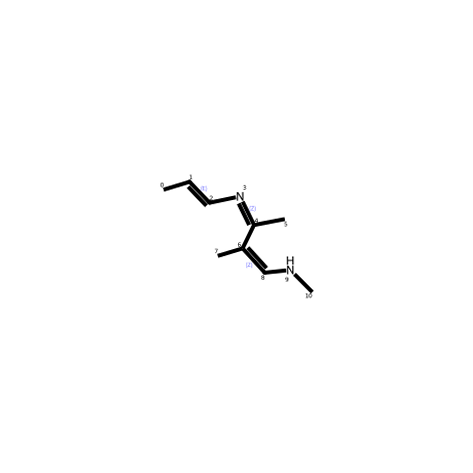 C/C=C/N=C(C)\C(C)=C/NC